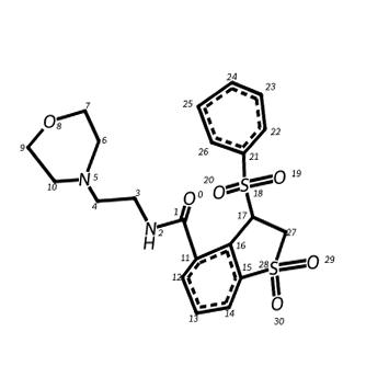 O=C(NCCN1CCOCC1)c1cccc2c1C(S(=O)(=O)c1ccccc1)CS2(=O)=O